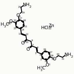 COc1cc(C=CC(=O)CC(=O)C=Cc2ccc(OCCN)c(OC)c2)ccc1OCCN.Cl.[Zn]